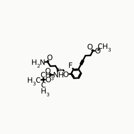 COC(=O)CCC#Cc1cccc(OC[C@H](CCC(N)=O)NC(=O)OC(C)(C)C)c1F